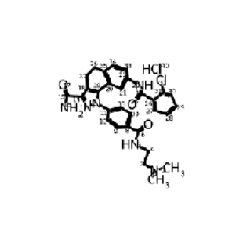 CN(C)CCNC(=O)c1ccc(-n2nc(C(N)=O)c3c2-c2cc(NC(=O)c4ccccc4Cl)ccc2CC3)cc1.Cl